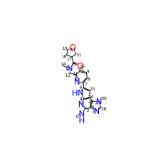 CNc1nc2[nH]c(-c3cccc(CN(C)C(=O)C4CCOC4)n3)cc2c2c1ncn2C